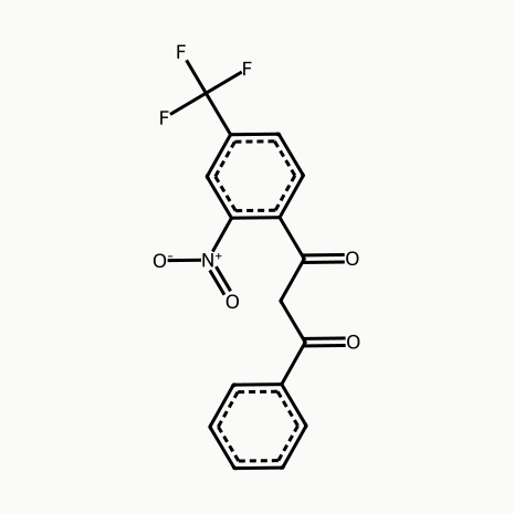 O=C(CC(=O)c1ccc(C(F)(F)F)cc1[N+](=O)[O-])c1ccccc1